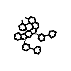 Cc1ccccc1-c1c(C)ccc2ccc3c(c4cc5c6ccccc6n(-c6cccc(-c7ccccc7)c6)c5cc4n3-c3cccc(-c4ccccc4)c3)c12